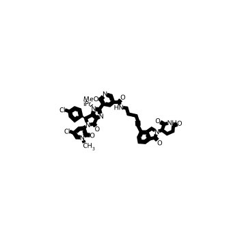 COc1ncc(C(=O)NCCCC#Cc2cccc3c2CN(C2CCC(=O)NC2=O)C3=O)cc1-c1nc2c(n1C(C)C)[C@H](c1ccc(Cl)cc1)N(c1cc(Cl)cn(C)c1=O)C2=O